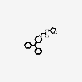 O=C(CN1CCC(=C(c2ccccc2)c2ccccc2)CC1)OC1CCOC1